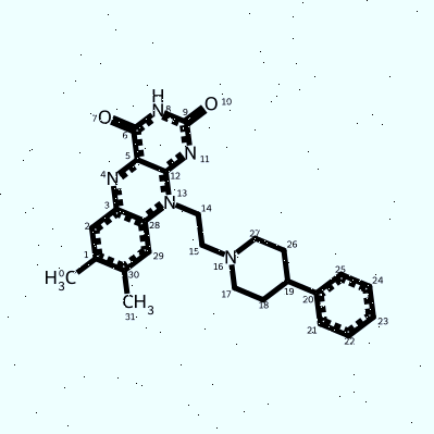 Cc1cc2nc3c(=O)[nH]c(=O)nc-3n(CCN3CCC(c4ccccc4)CC3)c2cc1C